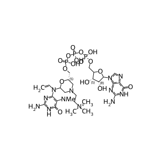 C=CN(c1nc(N)[nH]c(=O)c1NC)C1CN(CC[N+](C)(C)C)C[C@@H](COP(=O)(O)OP(=O)(O)OP(=O)(O)OCC2OC(n3cnc4c(=O)[nH]c(N)nc43)[C@H](O)[C@@H]2O)O1